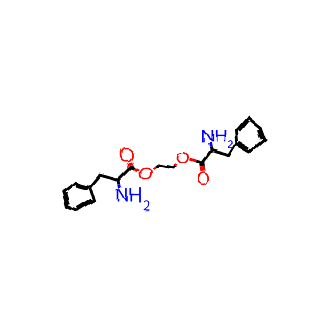 NC(Cc1ccccc1)C(=O)OCCOC(=O)C(N)Cc1ccccc1